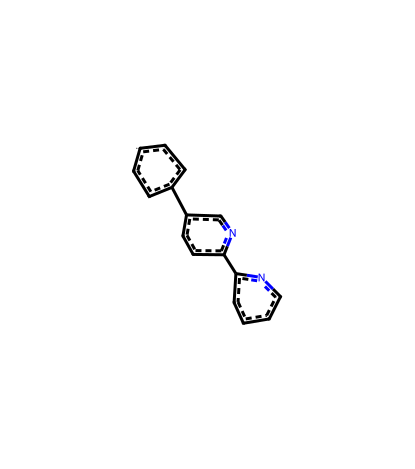 [c]1ccc(-c2ccc(-c3ccccn3)nc2)cc1